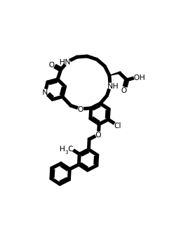 Cc1c(COc2cc3c(cc2Cl)CN[C@H](CC(=O)O)CCCCNC(=O)c2cncc(c2)CO3)cccc1-c1ccccc1